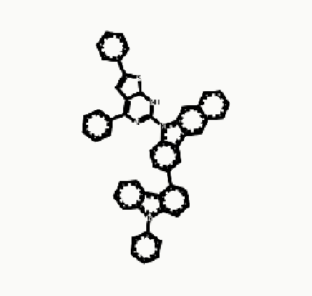 C1=C(c2ccccc2)SC2NC(n3c4ccc(-c5cccc6c5c5ccccc5n6-c5ccccc5)cc4c4cc5ccccc5cc43)=NC(c3ccccc3)=C12